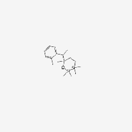 Cc1ccccc1C(C)C1(C)CC[Si](C)(C)[Si](C)(C)O1